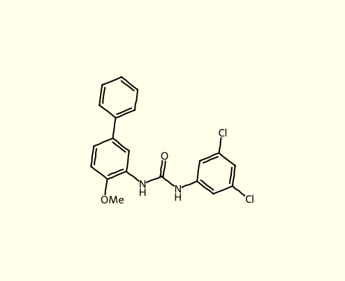 COc1ccc(-c2ccccc2)cc1NC(=O)Nc1cc(Cl)cc(Cl)c1